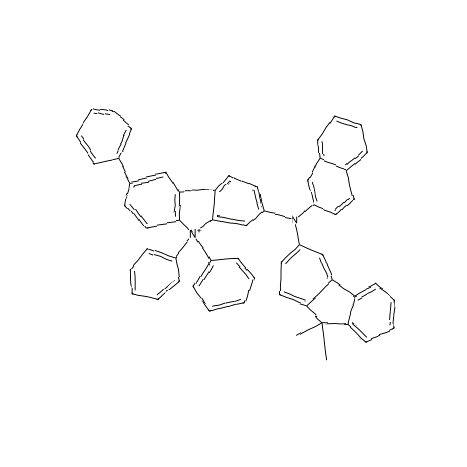 CC1(C)c2ccccc2-c2cc(N(c3ccc4c(c3)[N+](c3ccccc3)(c3ccccc3)c3ccc(-c5ccccc5)cc3-4)c3ccc4ccccc4c3)ccc21